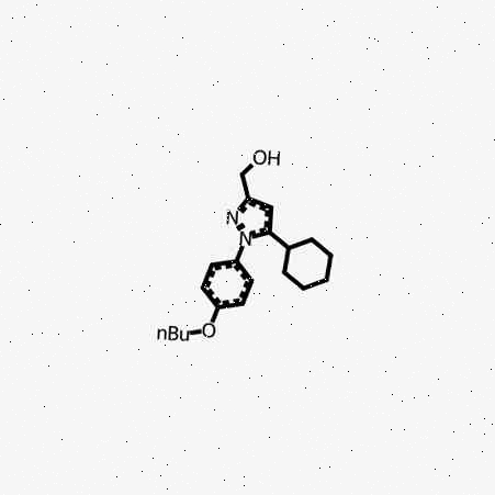 CCCCOc1ccc(-n2nc(CO)cc2C2CCCCC2)cc1